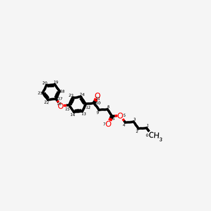 CCCCCOC(=O)CCC(=O)c1ccc(Oc2ccccc2)cc1